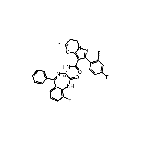 C[C@@H]1CCn2nc(-c3ccc(F)cc3F)c(C(=O)N[C@H]3N=C(c4ccccc4)c4cccc(F)c4NC3=O)c2O1